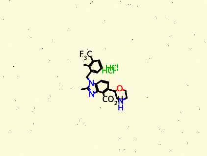 Cc1c(Cn2c(C)nc3c(C(=O)O)c(C4CNCCO4)ccc32)cccc1C(F)(F)F.Cl.Cl